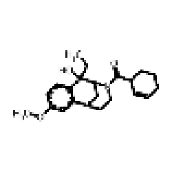 CCC1(O)c2ccc(OC)cc2C2CCN(C(=O)C3C=CCCC3)C1C2